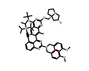 COc1ccc(CN(Cc2ccc(OC)cc2)c2nc(-c3c(F)cc4c(OC(C)(C)C)nc(OC[C@@]56CCCN5C[C@H](F)C6)nc4c3F)c3c(C#C[Si](C(C)C)(C(C)C)C(C)C)cccc3n2)cc1